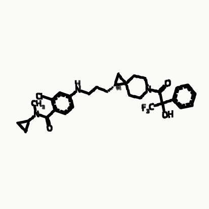 CN(C(=O)c1ccc(NCCC[C@@H]2CC23CCN(C(=O)C(O)(c2ccccc2)C(F)(F)F)CC3)cc1Cl)C1CC1